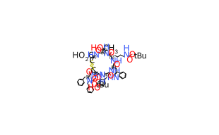 C[C@@H](O)[C@@H]1NC(=O)[C@H](CCCCNC(=O)OC(C)(C)C)NC(=O)[C@@H](Cc2c[nH]c3ccccc23)NC(=O)[C@H](Cc2ccc(O)cc2)NC(=O)[C@@H](NC(=O)[C@@H](Cc2ccccc2)N(Cc2ccccc2)C(=O)OC(C)(C)C)CSSC[C@@H](C(=O)O)NC1=O